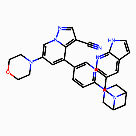 N#Cc1cnn2cc(N3CCOCC3)cc(-c3ccc(N4CC5CC(C4)N5Cc4cnc5[nH]ccc5c4)nc3)c12